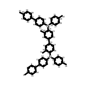 Cc1ccc(-c2ccc(N(c3ccc(C)cc3)c3ccc(-c4ccc(N(c5ccc(C)cc5)c5ccc(-c6ccc(C)cc6)cc5)c(C)c4)cc3C)cc2)cc1